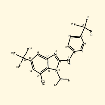 CC(C)n1c(Nc2ccc(C(F)(F)F)cc2)nc2cc(C(F)(F)F)cc(Cl)c21